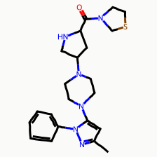 Cc1cc(N2CCN(C3CNC(C(=O)N4CCSC4)C3)CC2)n(-c2ccccc2)n1